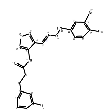 O=C(CCc1cccc(Br)c1)Nc1nonc1/C=N/ONc1ccc(F)c(Br)c1